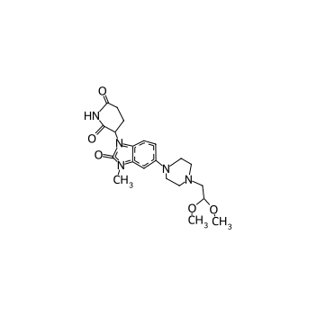 COC(CN1CCN(c2ccc3c(c2)n(C)c(=O)n3C2CCC(=O)NC2=O)CC1)OC